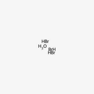 Br.Br.Br.O